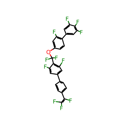 FC(F)=C(F)c1ccc(-c2cc(F)c(C(F)(F)Oc3ccc(-c4cc(F)c(F)c(F)c4)c(F)c3)c(F)c2)cc1